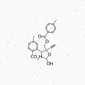 C#CC1(COC(=O)c2ccc(C)cc2)OC(O)CC1c1cc(C)ccc1C(=O)O